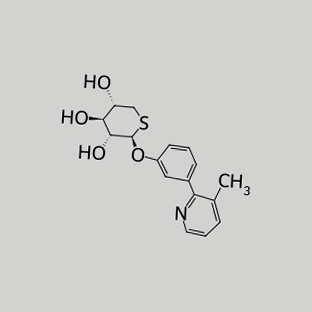 Cc1cccnc1-c1cccc(O[C@@H]2SC[C@@H](O)[C@H](O)[C@H]2O)c1